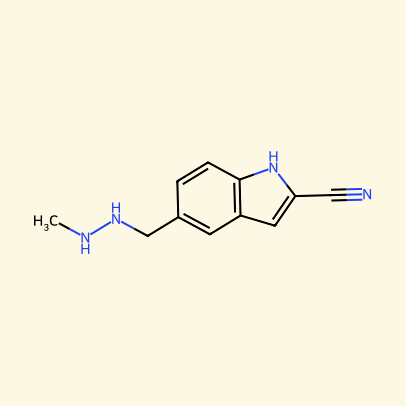 CNNCc1ccc2[nH]c(C#N)cc2c1